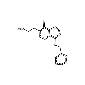 COCCn1ccc2c(SCc3ccccc3)cccc2c1=O